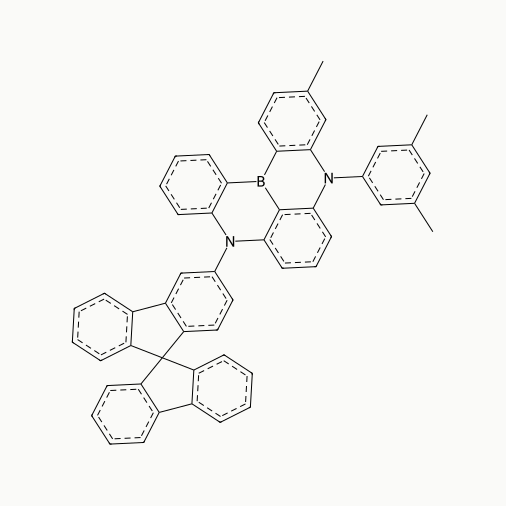 Cc1cc(C)cc(N2c3cc(C)ccc3B3c4ccccc4N(c4ccc5c(c4)-c4ccccc4C54c5ccccc5-c5ccccc54)c4cccc2c43)c1